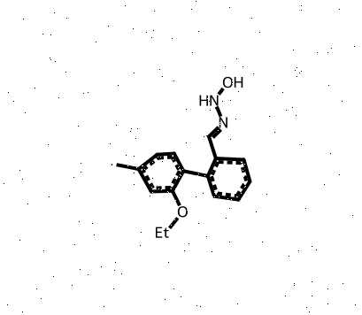 [CH2]c1ccc(-c2ccccc2C=NNO)c(OCC)c1